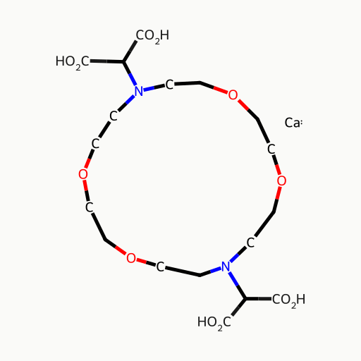 O=C(O)C(C(=O)O)N1CCOCCOCCN(C(C(=O)O)C(=O)O)CCOCCOCC1.[Ca]